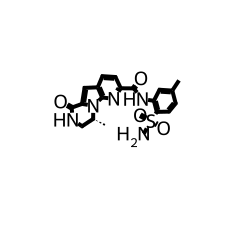 Cc1ccc(S(N)(=O)=O)c(NC(=O)c2ccc3cc4n(c3n2)[C@H](C)CNC4=O)c1